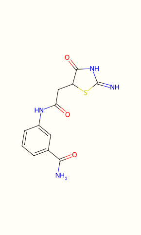 N=C1NC(=O)C(CC(=O)Nc2cccc(C(N)=O)c2)S1